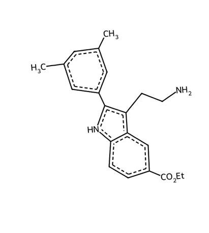 CCOC(=O)c1ccc2[nH]c(-c3cc(C)cc(C)c3)c(CCN)c2c1